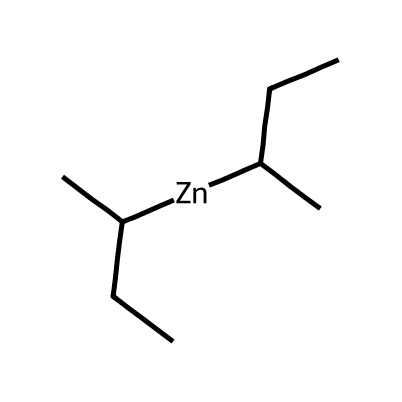 CC[CH](C)[Zn][CH](C)CC